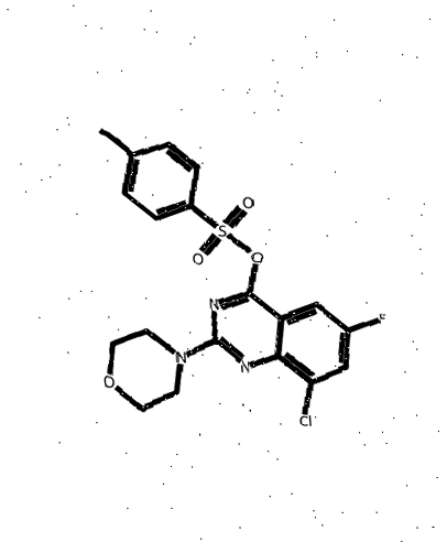 Cc1ccc(S(=O)(=O)Oc2nc(N3CCOCC3)nc3c(Cl)cc(F)cc23)cc1